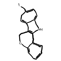 Fc1ccc2[nH]c3c(c2c1)COc1ccccc1-3